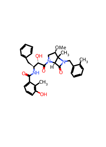 CO[C@@H]1CN(C(=O)[C@@H](O)[C@H](Cc2ccccc2)NC(=O)c2cccc(O)c2C)[C@@H]2C(=O)N(Cc3ccccc3C)C12C